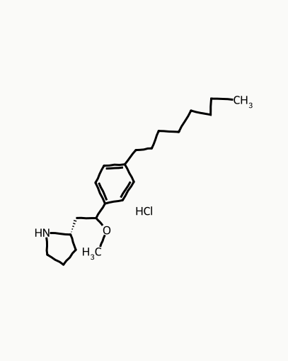 CCCCCCCCc1ccc(C(C[C@@H]2CCCN2)OC)cc1.Cl